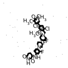 COc1cc(-c2cn(C)c(=O)c(C)c2C)cc(Cl)c1CN1CC[C@@H](C2CCN(c3ccc(N[C@H]4CCC(=O)NC4=O)cc3F)CC2)C(F)(F)C1